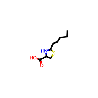 CCCCCC1NC(C(=O)O)CS1